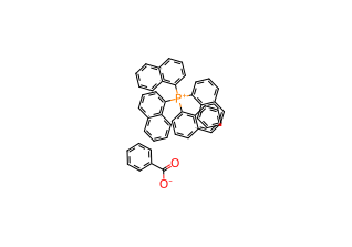 O=C([O-])c1ccccc1.c1ccc2c([P+](c3cccc4ccccc34)(c3cccc4ccccc34)c3cccc4ccccc34)cccc2c1